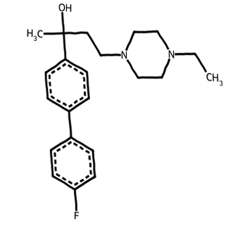 CCN1CCN(CCC(C)(O)c2ccc(-c3ccc(F)cc3)cc2)CC1